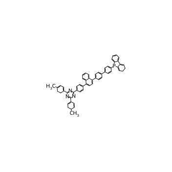 CC1=CC=C(c2nc(C3=CCC(C)C=C3)nc(-c3ccc(-c4ccc(-c5ccc(-c6ccc(-p7c8c(c9ccccc97)=CCCC=8)cc6)cc5)c5ccccc45)cc3)n2)CC1